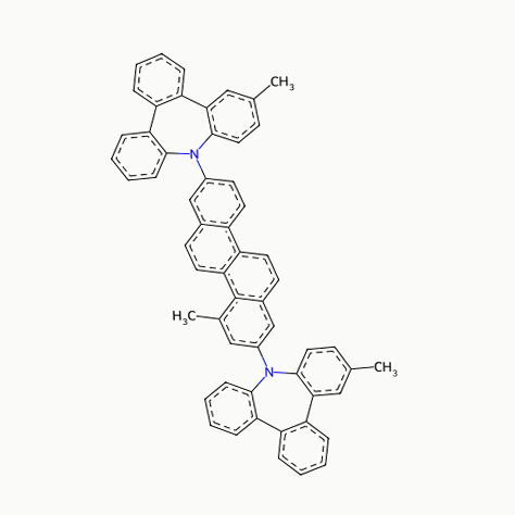 Cc1ccc2c(c1)-c1ccccc1-c1ccccc1N2c1ccc2c(ccc3c2ccc2cc(N4c5ccccc5-c5ccccc5-c5cc(C)ccc54)cc(C)c23)c1